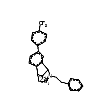 C[C@H]1C2CCN(CCc3ccccc3)C1c1cc(-c3ccc(C(F)(F)F)cc3)ccc12